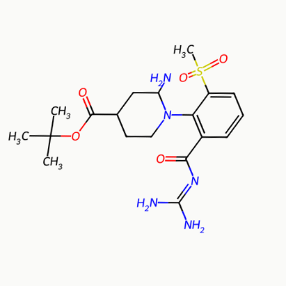 CC(C)(C)OC(=O)C1CCN(c2c(C(=O)N=C(N)N)cccc2S(C)(=O)=O)C(N)C1